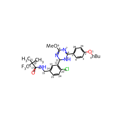 CCCCOc1ccc(C2=NC(OC)=NC(c3cc(CNC(=O)C(C)(C)C(F)(F)F)ccc3Cl)N2)cc1